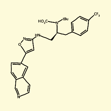 CC(C)(C)N(C(=O)O)[C@H](CNc1cc(-c2ccc3cnccc3c2)on1)Cc1ccc(C(F)(F)F)cc1